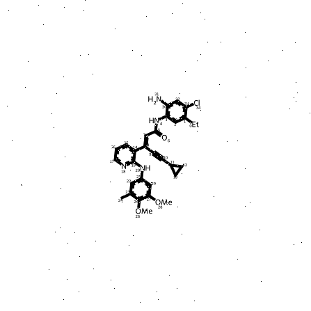 CCc1cc(NC(=O)/C=C(\C#CC2CC2)c2cccnc2Nc2cc(C)c(OC)c(OC)c2)c(N)cc1Cl